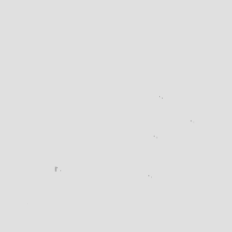 Cc1cc2c(F)c(Nc3ccnc(Nc4cccc(Cl)c4)n3)ccc2[nH]1